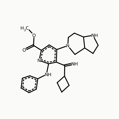 COC(=O)c1cc(N2CCC3NCCC3C2)c(C(=N)C2CCC2)c(Nc2ccccc2)n1